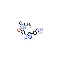 CCN1CCC[C@H]1CNC(=O)c1ccc(Nc2ccc(-c3ccc4c(c3)CNC4=O)n3ccnc23)cc1F